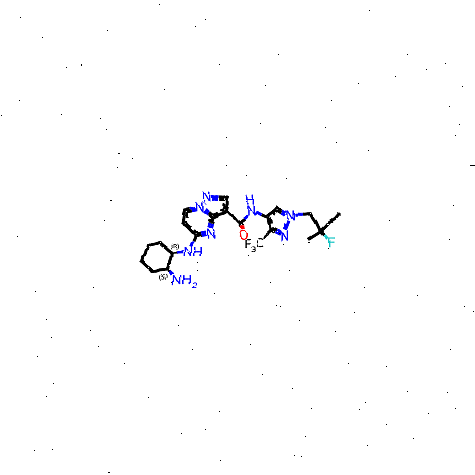 CC(C)(F)Cn1cc(NC(=O)c2cnn3ccc(N[C@@H]4CCCC[C@@H]4N)nc23)c(C(F)(F)F)n1